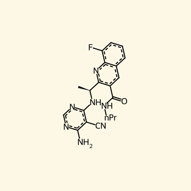 CCCNC(=O)c1cc2cccc(F)c2nc1[C@H](C)Nc1ncnc(N)c1C#N